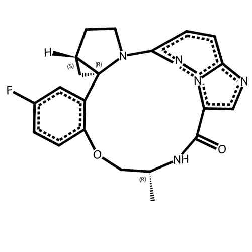 C[C@@H]1COc2ccc(F)cc2[C@@]23C[C@@H]2CCN3c2ccc3ncc(n3n2)C(=O)N1